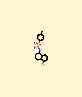 Cc1ccc(S(=O)(=O)NN=C2CCCc3c(Br)cccc32)cc1